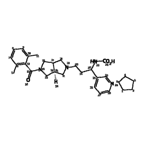 C1CCCC1.Cc1cccc(C)c1C(=O)N1CC2CN(CCC(NC(=O)O)c3cccnc3)C[C@H]2C1